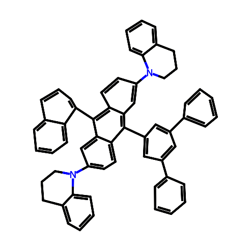 c1ccc(-c2cc(-c3ccccc3)cc(-c3c4cc(N5CCCc6ccccc65)ccc4c(-c4cccc5ccccc45)c4cc(N5CCCc6ccccc65)ccc34)c2)cc1